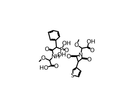 COC(C(=O)O)N1C(=O)C(c2ccsc2)C1=O.COC(NC(=O)C(c1ccccc1)P(=O)(O)O)C(=O)O